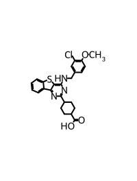 COc1ccc(CNc2nc(C3CCC(C(=O)O)CC3)nc3c2sc2ccccc23)cc1Cl